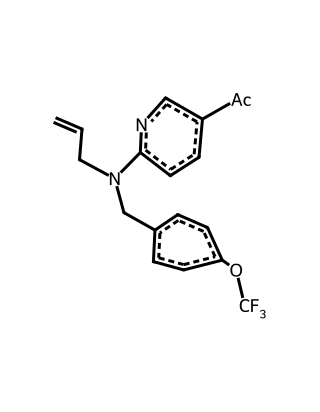 C=CCN(Cc1ccc(OC(F)(F)F)cc1)c1ccc(C(C)=O)cn1